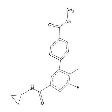 Cc1c(F)cc(C(=O)NC2CC2)cc1-c1ccc(C(=O)NN)cc1